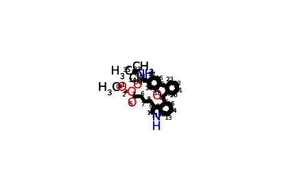 COCOC(=O)CCCc1c[nH]c2cccc(C(=O)c3ccccc3-c3ccc(C(=O)NC(C)(C)C)cc3)c12